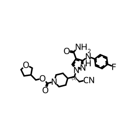 N#CC[C@@H](C1CCN(C(=O)OCC2CCOC2)CC1)n1cc(C(N)=O)c(Nc2ccc(F)cc2)n1